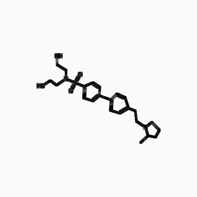 CC1CCCN1CCc1ccc(-c2ccc(S(=O)(=O)N(CCO)CCO)cc2)cc1